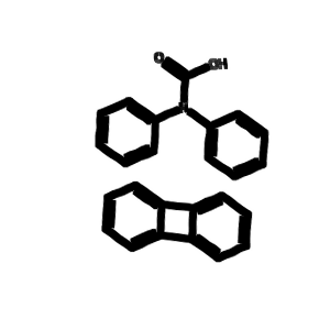 O=C(O)N(c1ccccc1)c1ccccc1.c1ccc2c(c1)-c1ccccc1-2